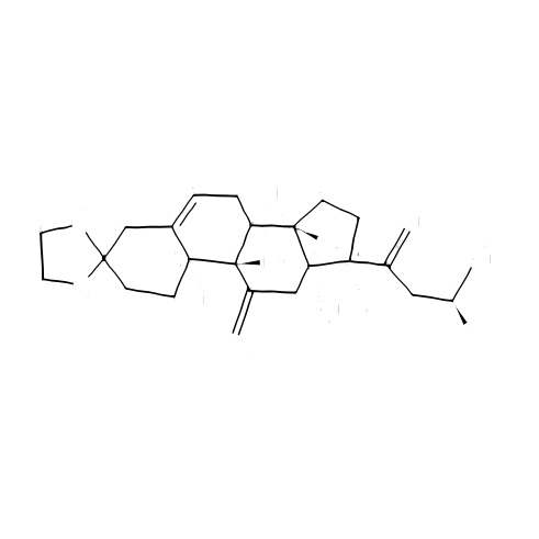 C=C1C[C@@]2(C)[C@@H](CC[C@@]2(O)C(=C)C[C@@H](C)C(=O)O)[C@@H]2CC=C3CC4(CC[C@@H]3[C@@H]12)OCCO4